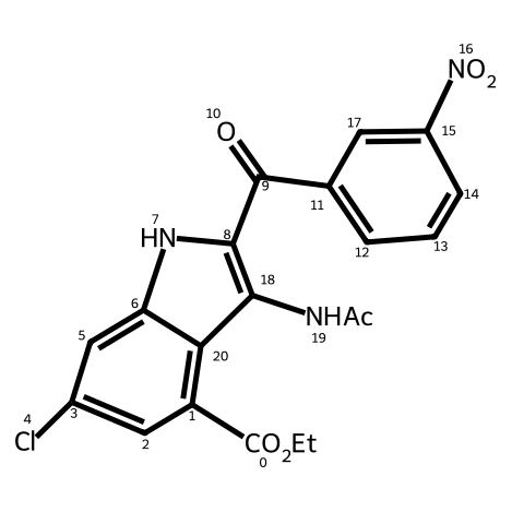 CCOC(=O)c1cc(Cl)cc2[nH]c(C(=O)c3cccc([N+](=O)[O-])c3)c(NC(C)=O)c12